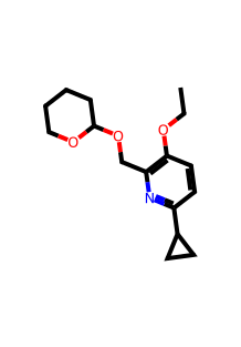 CCOc1ccc(C2CC2)nc1COC1CCCCO1